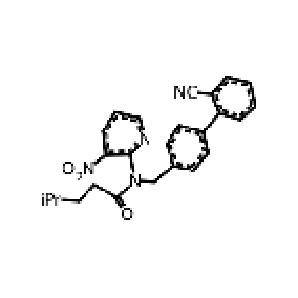 CC(C)CCC(=O)N(Cc1ccc(-c2ccccc2C#N)cc1)c1ncccc1[N+](=O)[O-]